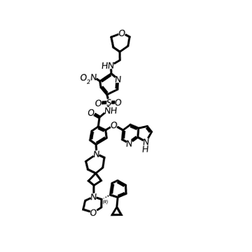 O=C(NS(=O)(=O)c1cnc(NCC2CCOCC2)c([N+](=O)[O-])c1)c1ccc(N2CCC3(CC2)CC(N2CCOC[C@H]2c2ccccc2C2CC2)C3)cc1Oc1cnc2[nH]ccc2c1